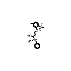 Cc1ccc(S(C)(=O)=O)c(OCCC(O)N(Oc2ccccc2)C(C)C)c1